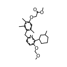 COCOc1ccc(Cc2c(C)cc(OCC(=O)OC)c(C)c2C)nc1C1CCCC(C)C1